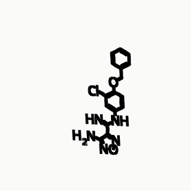 N=C(Nc1ccc(OCc2ccccc2)c(Cl)c1)c1nonc1N